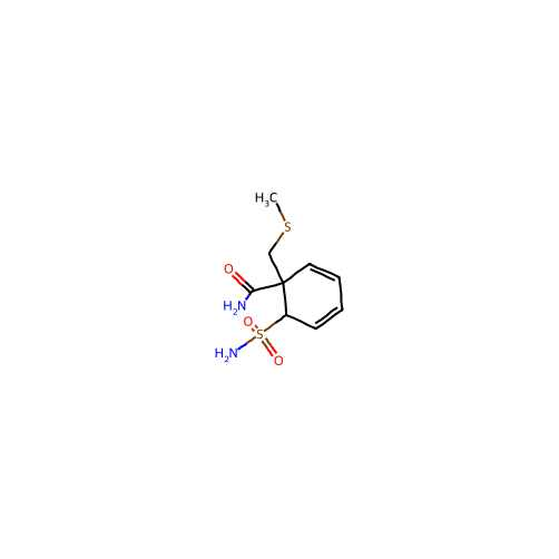 CSCC1(C(N)=O)C=CC=CC1S(N)(=O)=O